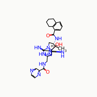 C[C@@H]1[C@@H](NC(=O)c2cccc3c2CCCC3)CN2C(=N)NC(CNC(=O)c3cnccn3)C3NC(=N)N(O)C312